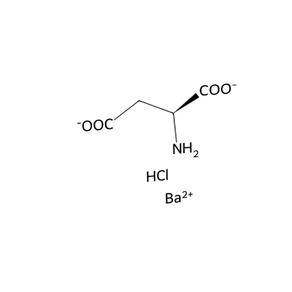 Cl.N[C@@H](CC(=O)[O-])C(=O)[O-].[Ba+2]